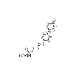 O=C(CCCOCc1ccc(-c2ccc(Cl)cc2)cc1)NO